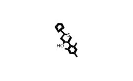 Cc1cc(C)c(C2=CSC(c3ccccc3)C=C2O)c(C)c1